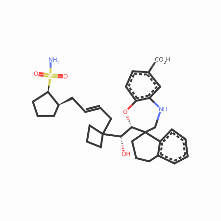 NS(=O)(=O)[C@@H]1CCC[C@@H]1C/C=C/CC1([C@@H](O)[C@@H]2Oc3ccc(C(=O)O)cc3NCC23CCCc2ccccc23)CCC1